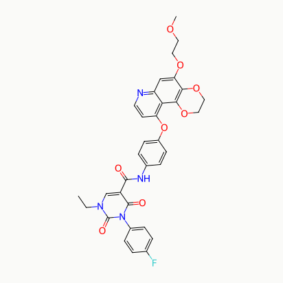 CCn1cc(C(=O)Nc2ccc(Oc3ccnc4cc(OCCOC)c5c(c34)OCCO5)cc2)c(=O)n(-c2ccc(F)cc2)c1=O